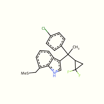 CSCc1cccc2c(C(C)(c3ccc(Cl)cc3)C3CC3(F)F)c[nH]c12